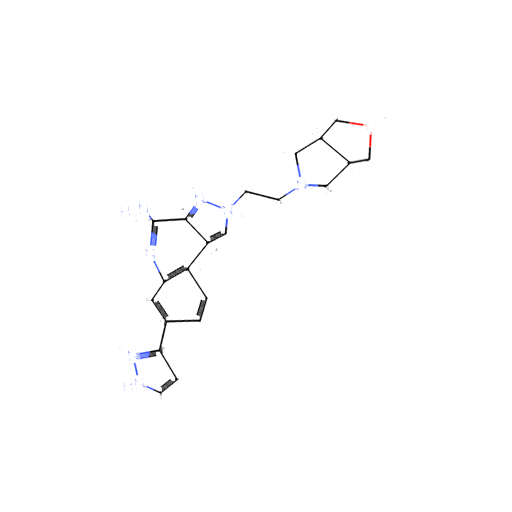 Nc1nc2cc(-c3cc[nH]n3)ccc2c2cn(CCN3CC4COCC4C3)nc12